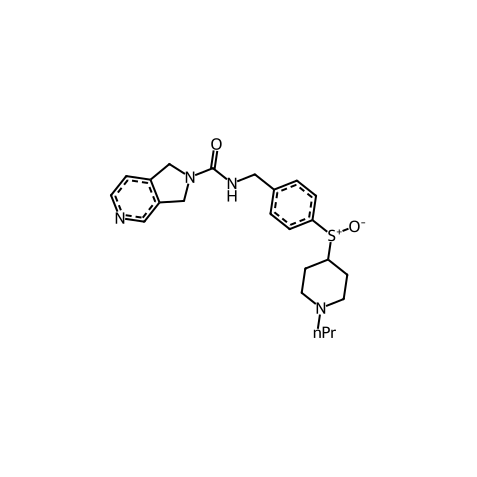 CCCN1CCC([S+]([O-])c2ccc(CNC(=O)N3Cc4ccncc4C3)cc2)CC1